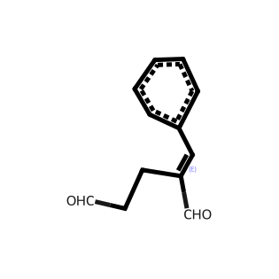 O=CCC/C(C=O)=C\c1ccccc1